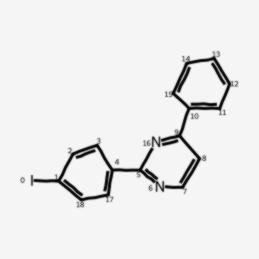 Ic1ccc(-c2nccc(-c3ccccc3)n2)cc1